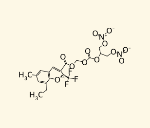 CCc1cc(C)cc2c1O[C@H](C(F)(F)F)C(C(=O)OCOC(=O)OC(CO[N+](=O)[O-])CO[N+](=O)[O-])=C2